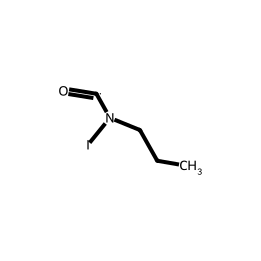 CCCN(I)[C]=O